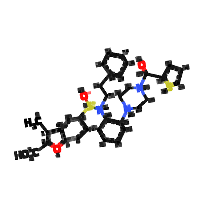 Cc1c(C(=O)O)oc2ccc([S+]([O-])N(CCc3ccccc3)c3ccccc3N3CCN(C(=O)c4cccs4)CC3)cc12